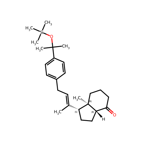 CC(=CCc1ccc(C(C)(C)O[Si](C)(C)C)cc1)[C@H]1CC[C@H]2C(=O)CCC[C@]12C